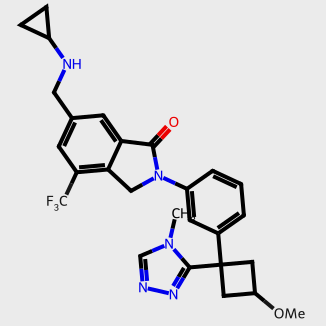 COC1CC(c2cccc(N3Cc4c(cc(CNC5CC5)cc4C(F)(F)F)C3=O)c2)(c2nncn2C)C1